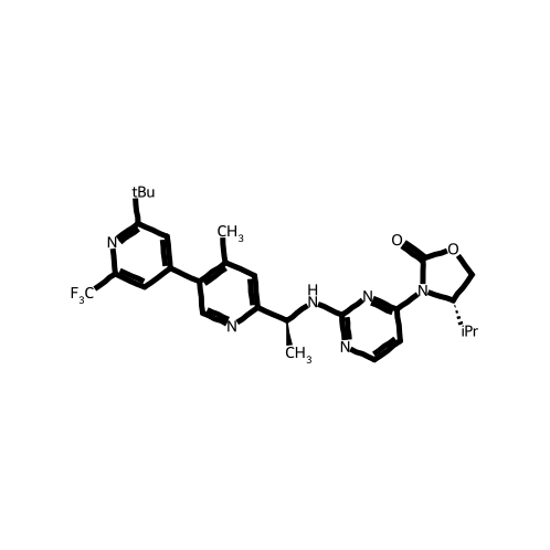 Cc1cc([C@H](C)Nc2nccc(N3C(=O)OC[C@@H]3C(C)C)n2)ncc1-c1cc(C(C)(C)C)nc(C(F)(F)F)c1